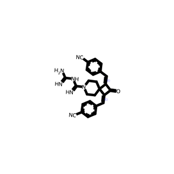 N#Cc1ccc(/C=C2/C(=O)/C(=C/c3ccc(C#N)cc3)C23CCN(C(=N)NC(=N)N)CC3)cc1